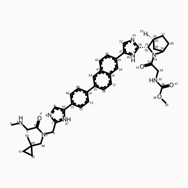 CNCC(=O)N(Cc1ncc(-c2ccc(-c3ccc4cc(-c5cnc([C@@H]6[C@H]7CCC(C7)N6C(=O)CNC(=O)OC)[nH]5)ccc4c3)cc2)[nH]1)CC1(C)CC1